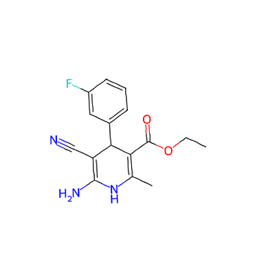 CCOC(=O)C1=C(C)NC(N)=C(C#N)C1c1cccc(F)c1